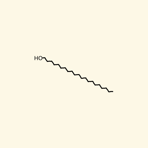 CCCCCCCCCCCCCCCCCCCCCO